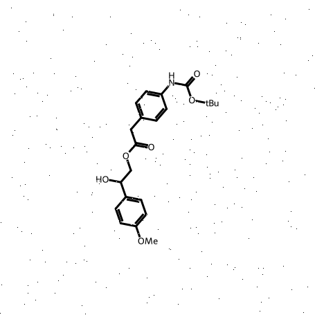 COc1ccc(C(O)COC(=O)Cc2ccc(NC(=O)OC(C)(C)C)cc2)cc1